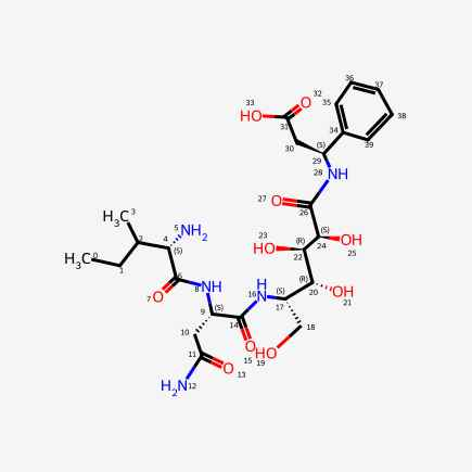 CCC(C)[C@H](N)C(=O)N[C@@H](CC(N)=O)C(=O)N[C@@H](CO)[C@@H](O)[C@@H](O)[C@H](O)C(=O)N[C@@H](CC(=O)O)c1ccccc1